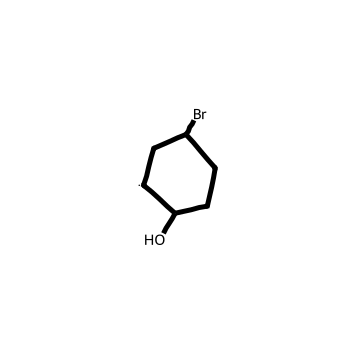 OC1[CH]CC(Br)CC1